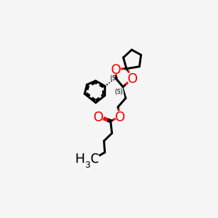 CCCCC(=O)OCC[C@@H]1OC2(CCCC2)O[C@H]1c1ccccc1